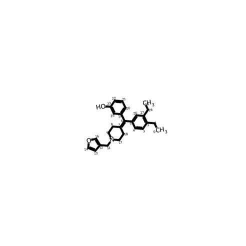 CCc1ccc(C(=C2CCN(Cc3ccoc3)CC2)c2cccc(O)c2)cc1CC